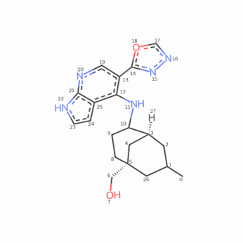 CC1C[C@H]2C[C@](CO)(CCC2Nc2c(-c3nnco3)cnc3[nH]ccc23)C1